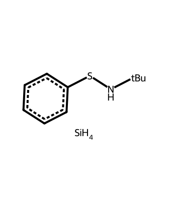 CC(C)(C)NSc1ccccc1.[SiH4]